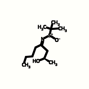 CCCC/C(C[C@@H](C)O)=N/[S+]([O-])C(C)(C)C